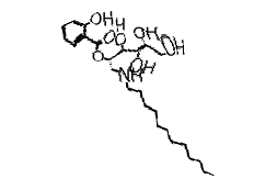 CCCCCCCCCCCCNC[C@H](OC(=O)c1ccccc1O)[C@@H](O)[C@H](O)[C@H](O)CO